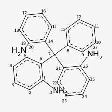 Nc1ccccc1C(c1ccccc1)(c1ccccc1N)c1ccccc1N